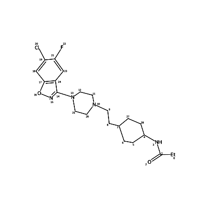 CCC(=O)NC1CCC(CCN2CCN(c3noc4cc(Cl)c(F)cc34)CC2)CC1